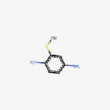 N#CSc1cc(N)ccc1N